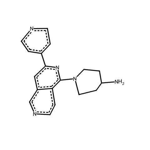 NC1CCN(c2nc(-c3ccncc3)cc3cnccc23)CC1